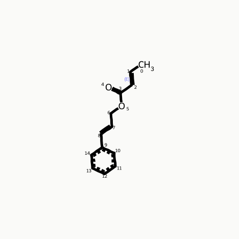 C/C=C/C(=O)OCC=Cc1ccccc1